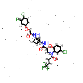 O=C(COc1ccc(Cl)c(F)c1)NC12CC(C1)C(NC(=O)C1CN(C(=O)CCC(F)(F)F)c3cc(Cl)ccc3O1)C2